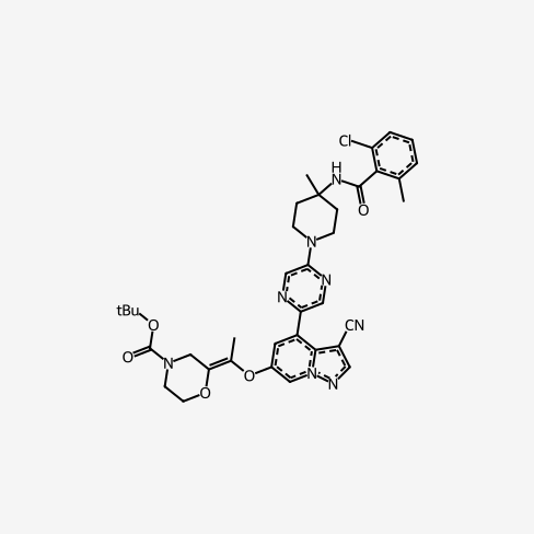 C/C(Oc1cc(-c2cnc(N3CCC(C)(NC(=O)c4c(C)cccc4Cl)CC3)cn2)c2c(C#N)cnn2c1)=C1\CN(C(=O)OC(C)(C)C)CCO1